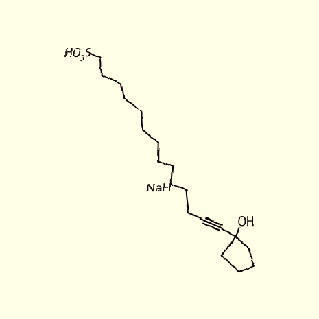 O=S(=O)(O)CCCCCCCCCCCCC#CC1(O)CCCC1.[NaH]